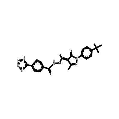 CC1=NN(c2ccc(C(C)(C)C)cc2)C(=O)C1=C(C)NNC(=O)c1ccc(-c2nnn[nH]2)cc1